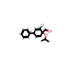 CC(C)OC1(C=O)C=CC(c2ccccc2)C=C1Cl